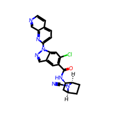 N#CN1[C@H]2CC[C@@H]1[C@H](NC(=O)c1cc3cnn(-c4ccc5ccncc5n4)c3cc1Cl)C2